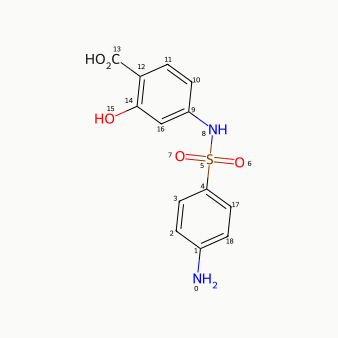 Nc1ccc(S(=O)(=O)Nc2ccc(C(=O)O)c(O)c2)cc1